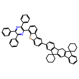 C1=C2C(CC3=C1c1ccccc1C31CCCCC1)c1ccc(-c3ccc4sc5c(-c6nc(-c7ccccc7)c(-c7ccccc7)nc6-c6ccccc6)cccc5c4c3)cc1C21CCCCC1